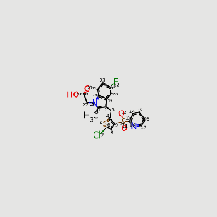 Cc1c(Cc2sc(Cl)cc2S(=O)(=O)c2ccccn2)c2cc(F)ccc2n1CC(=O)O